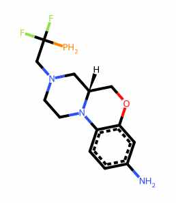 Nc1ccc2c(c1)OC[C@H]1CN(CC(F)(F)P)CCN21